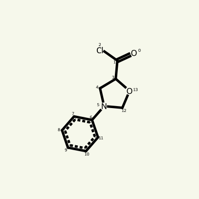 O=C(Cl)C1CN(c2ccccc2)CO1